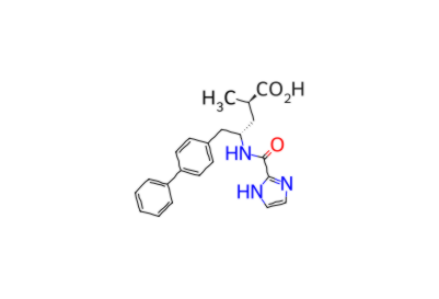 C[C@H](C[C@@H](Cc1ccc(-c2ccccc2)cc1)NC(=O)c1ncc[nH]1)C(=O)O